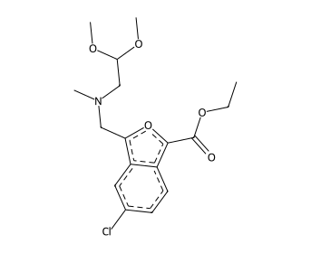 CCOC(=O)c1oc(CN(C)CC(OC)OC)c2cc(Cl)ccc12